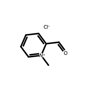 C[n+]1ccccc1C=O.[Cl-]